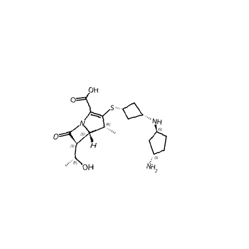 C[C@@H](O)[C@H]1C(=O)N2C(C(=O)O)=C(S[C@H]3C[C@@H](N[C@H]4CC[C@H](N)C4)C3)[C@H](C)[C@H]12